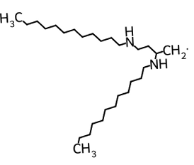 [CH2]C(CCNCCCCCCCCCCCC)NCCCCCCCCCCCC